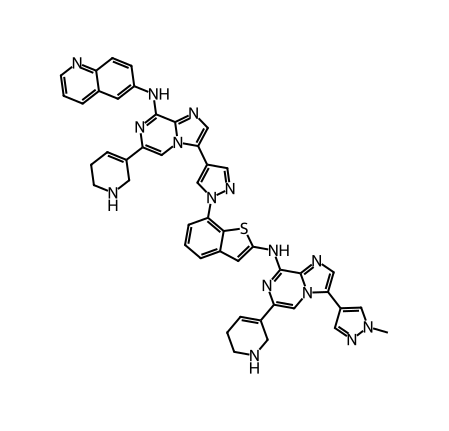 Cn1cc(-c2cnc3c(Nc4cc5cccc(-n6cc(-c7cnc8c(Nc9ccc%10ncccc%10c9)nc(C9=CCCNC9)cn78)cn6)c5s4)nc(C4=CCCNC4)cn23)cn1